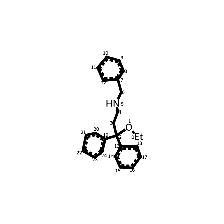 CCOC(CCNCc1ccccc1)(c1ccccc1)c1ccccc1